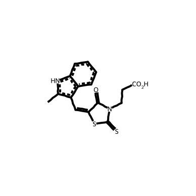 Cc1[nH]c2ccccc2c1/C=C1/SC(=S)N(CCC(=O)O)C1=O